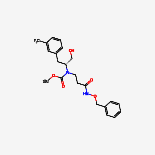 CC(C)(C)OC(=O)N(CCC(=O)NOCc1ccccc1)[C@@H](CO)Cc1cccc(C(F)(F)F)c1